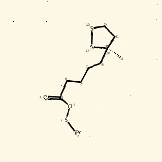 CC(C)SOC(=O)CCCC[C@]1(C)CCSS1